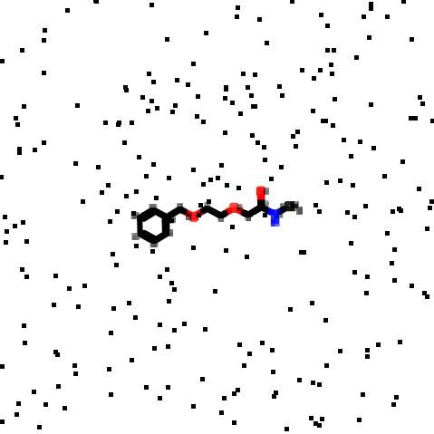 CNC(=O)COCCOCc1ccccc1